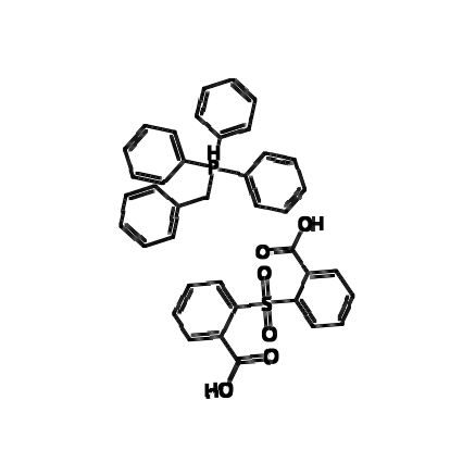 O=C(O)c1ccccc1S(=O)(=O)c1ccccc1C(=O)O.c1ccc(C[PH](c2ccccc2)(c2ccccc2)c2ccccc2)cc1